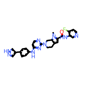 Cn1c(C(=O)Nc2cnccc2F)cc2c1CN(c1nccc(Nc3ccc(-c4cn[nH]c4)cc3)n1)CC2